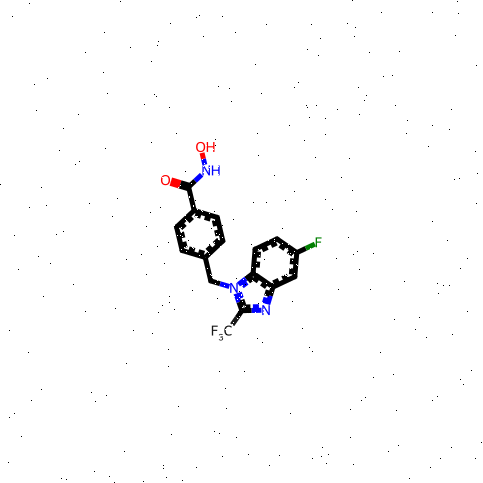 O=C(NO)c1ccc(Cn2c(C(F)(F)F)nc3cc(F)ccc32)cc1